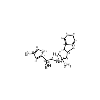 CC(C)(CC1Cc2ccccc2C1)NC[C@@H](O)c1cc(Br)cs1